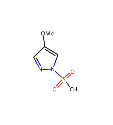 COc1cnn(S(C)(=O)=O)c1